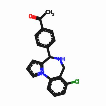 CC(=O)c1ccc(C2NCc3c(Cl)cccc3-n3cccc32)cc1